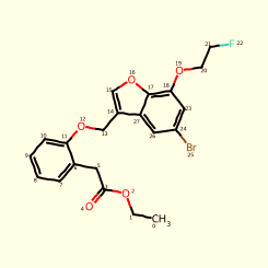 CCOC(=O)Cc1ccccc1OCc1coc2c(OCCF)cc(Br)cc12